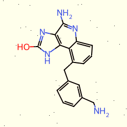 NCc1cccc(Cc2cccc3nc(N)c4nc(O)[nH]c4c23)c1